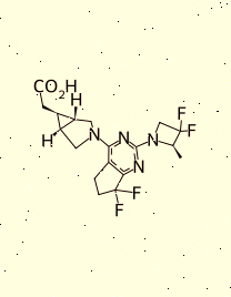 C[C@H]1N(c2nc(N3C[C@@H]4[C@@H](CC(=O)O)[C@@H]4C3)c3c(n2)C(F)(F)CC3)CC1(F)F